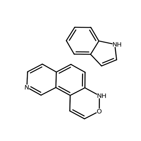 C1=Cc2c(ccc3ccncc23)NO1.c1ccc2[nH]ccc2c1